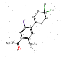 COC(=O)c1cc(I)c(C2CCC(F)(F)CC2)cc1NC(C)=O